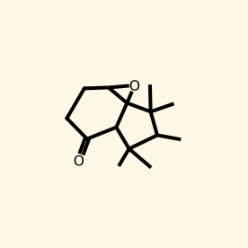 CC1C(C)(C)C2C(=O)CCC3OC32C1(C)C